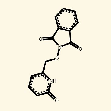 O=C1c2ccccc2C(=O)N1OCc1cccc(=O)[nH]1